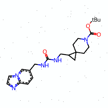 CC(C)(C)OC(=O)N1CCC2(CC1)CC2CNC(=O)NCc1ccc2nccn2c1